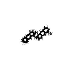 Brc1cccc2cc3c(ccc4nc5c(ccc6cc7ccccc7cc65)nc43)cc12